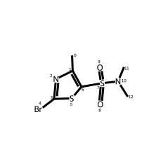 Cc1nc(Br)sc1S(=O)(=O)N(C)C